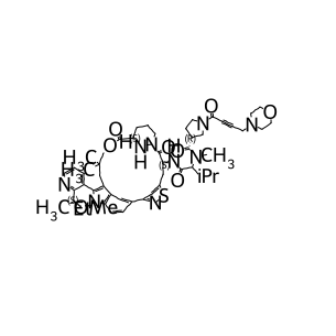 CCn1c(-c2cccnc2[C@H](C)OC)c2c3cc(ccc31)-c1cc(sn1)C[C@H](NC(=O)C(C(C)C)N(C)C(=O)[C@@H]1CCN(C(=O)C#CCN3CCOCC3)C1)C(=O)N1CCC[C@H](N1)C(=O)OCC(C)(C)C2